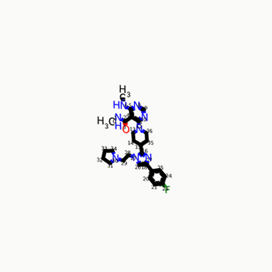 CNC(=O)c1c(NC)ncnc1N1CCC(c2nc(-c3ccc(F)cc3)cn2CCN2CCCC2)CC1